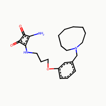 Nc1c(NCCCOc2cccc(CN3CCCCCCCC3)c2)c(=O)c1=O